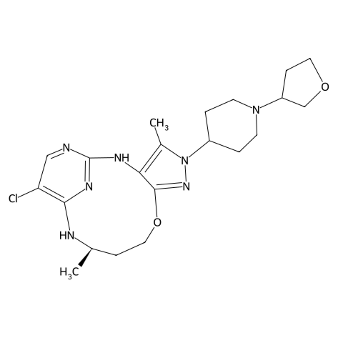 Cc1c2c(nn1C1CCN(C3CCOC3)CC1)OCC[C@@H](C)Nc1nc(ncc1Cl)N2